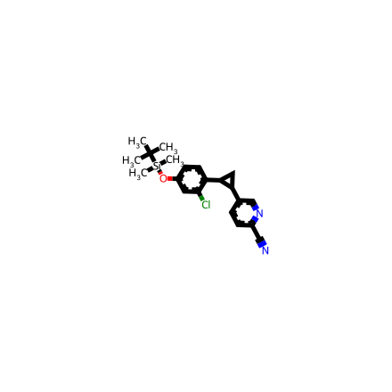 CC(C)(C)[Si](C)(C)Oc1ccc(C2CC2c2ccc(C#N)nc2)c(Cl)c1